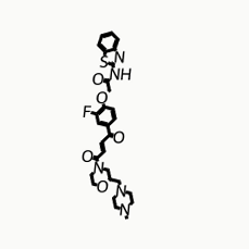 CN1CCN(CC2CN(C(=O)C=CC(=O)c3ccc(OCC(=O)Nc4nc5ccccc5s4)c(F)c3)CCO2)CC1